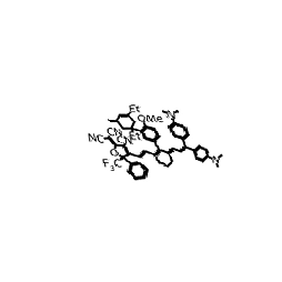 CCC1=CC(C)CC(CC)(c2cc(C3=C(/C=C/C4=C(C#N)C(=C(C#N)C#N)OC4(c4ccccc4)C(F)(F)F)CCC/C3=C\C=C(c3ccc(N(C)C)cc3)c3ccc(N(C)C)cc3)ccc2OC)C1